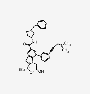 CN(C)CC#Cc1cccc(-c2nc(C(=O)N[C@@H]3CCN(Cc4ccccc4)C3)cc3c2[C@@H](CCO)N([S@+]([O-])C(C)(C)C)C3)c1